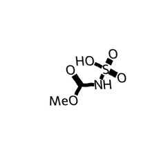 COC(=O)NS(=O)(=O)O